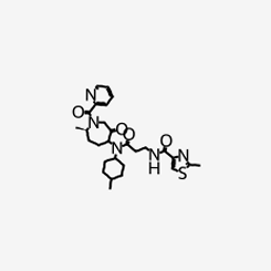 Cc1nc(C(=O)NCCC(=O)N(C2CCC(C)CC2)C2CC[C@@H](C)N(C(=O)c3ccccn3)CC2=O)cs1